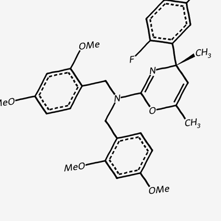 COc1ccc(CN(Cc2ccc(OC)cc2OC)C2=N[C@](C)(c3cc(N)ccc3F)C=C(C)O2)c(OC)c1